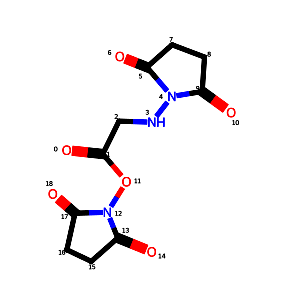 O=C(CNN1C(=O)CCC1=O)ON1C(=O)CCC1=O